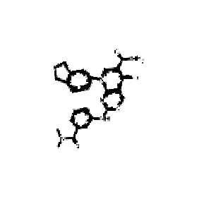 CN(C)C(=O)c1cccc(Nc2ncc3c(=O)c(C(N)=O)cn(-c4ccc5c(c4)CCC5)c3n2)c1